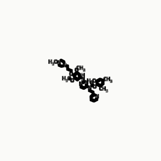 COc1cc(Nc2nccc(N(CCc3ccccn3)C(=O)Oc3c(C)cc(C)cc3C)n2)cc(OC)c1OCCCN1CCN(C)CC1